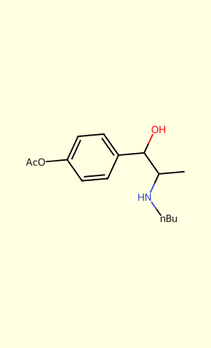 CCCCNC(C)C(O)c1ccc(OC(C)=O)cc1